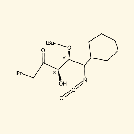 CC(C)CC(=O)[C@H](O)[C@@H](OC(C)(C)C)C(N=C=O)C1CCCCC1